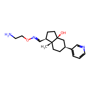 C[C@]12CC[C@H](c3cccnc3)C[C@@]1(O)CC[C@@H]2C=NOCCN